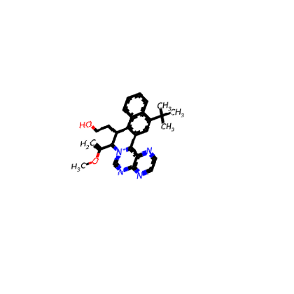 C=C(OC)C1C(CCO)c2c(cc(C(C)(C)C)c3ccccc23)-c2c3nccnc3nc[n+]21